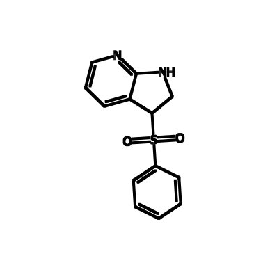 O=S(=O)(c1ccccc1)C1CNc2ncccc21